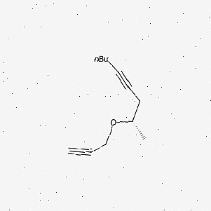 C#CCO[C@@H](C)CC#CCCCC